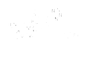 COc1cc(-c2nnn(CC3CCC(F)(F)CC3)n2)ccc1S(=O)(=O)N(CC(N)=O)C(=O)OC(C)(C)C